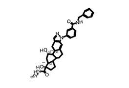 CCCNC(=O)[C@@]1(O)CCC2C3CCC4=Cc5c(cnn5-c5cccc(C(=O)NCc6ccccc6)c5)C[C@]4(C)C3[C@@H](O)C[C@@]21C